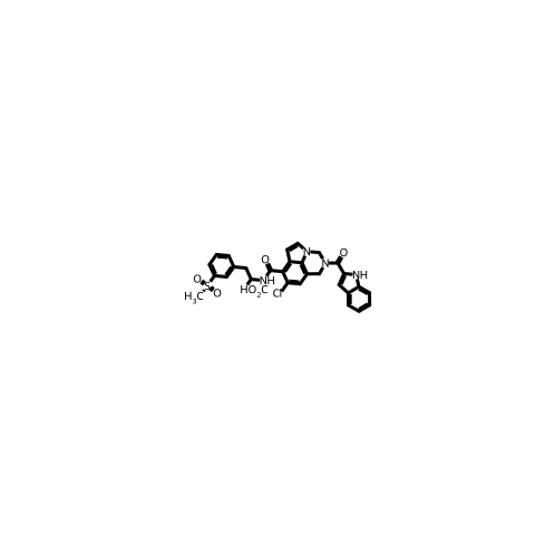 CS(=O)(=O)c1cccc(CC(NC(=O)c2c(Cl)cc3c4c2ccn4CN(C(=O)c2cc4ccccc4[nH]2)C3)C(=O)O)c1